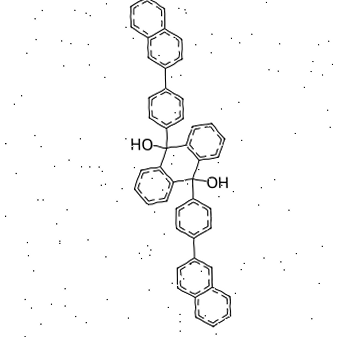 OC1(c2ccc(-c3ccc4ccccc4c3)cc2)c2ccccc2C(O)(c2ccc(-c3ccc4ccccc4c3)cc2)c2ccccc21